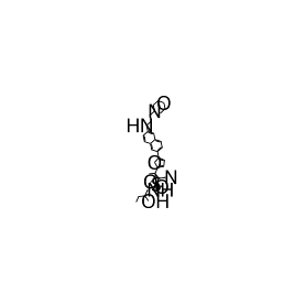 CCC(O)CNS(=O)(=O)/C(C#N)=C(\C)c1ccc(-c2ccc3cc(NCCN4CCOCC4)ccc3c2)o1